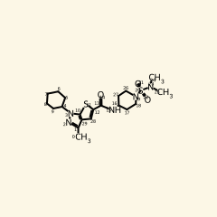 Cc1nn(C2CCCCC2)c2sc(C(=O)NC3CCN(S(=O)(=O)N(C)C)CC3)cc12